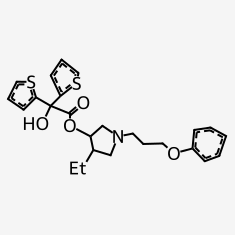 CCC1CN(CCCOc2ccccc2)CC1OC(=O)C(O)(c1cccs1)c1cccs1